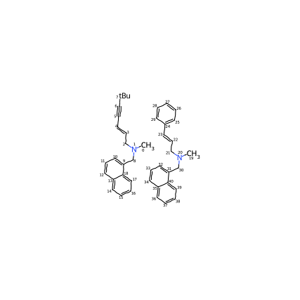 CN(C/C=C/C#CC(C)(C)C)Cc1cccc2ccccc12.CN(C/C=C/c1ccccc1)Cc1cccc2ccccc12